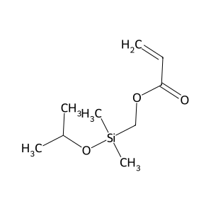 C=CC(=O)OC[Si](C)(C)OC(C)C